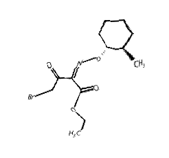 CCOC(=O)/C(=N\O[C@@H]1CCCC[C@H]1C)C(=O)CBr